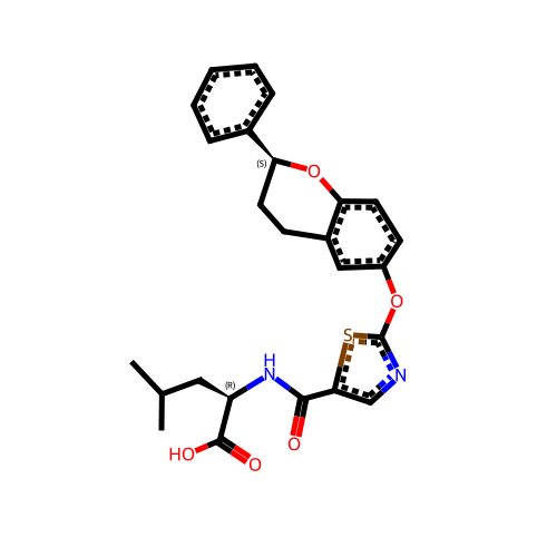 CC(C)C[C@@H](NC(=O)c1cnc(Oc2ccc3c(c2)CC[C@@H](c2ccccc2)O3)s1)C(=O)O